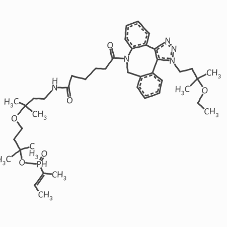 CC=C(C)[PH](=O)OC(C)(C)CCOC(C)(C)CCNC(=O)CCCCC(=O)N1Cc2ccccc2-c2c(nnn2CCC(C)(C)OCC)-c2ccccc21